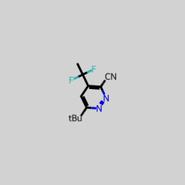 CC(C)(C)c1cc(C(C)(F)F)c(C#N)nn1